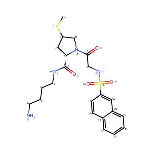 CSC1C[C@@H](C(=O)NCCCCN)N(C(=O)CNS(=O)(=O)c2ccc3ccccc3c2)C1